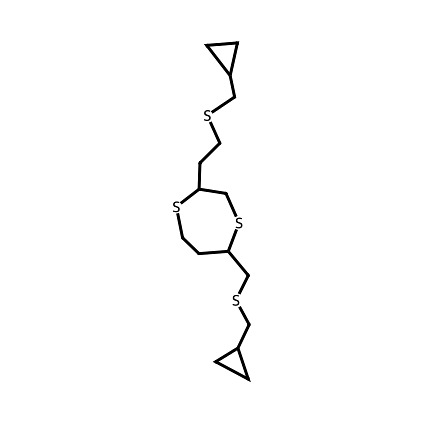 C(CC1CSC(CSCC2CC2)CCS1)SCC1CC1